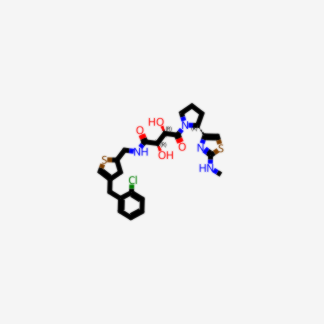 CNc1nc([C@H]2CCCN2C(=O)[C@H](O)[C@@H](O)C(=O)NCC2CC(Cc3ccccc3Cl)=CS2)cs1